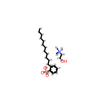 CCCCCCCCCCCCc1ccccc1S(=O)(=O)[O-].C[N+](C)(C)CCO